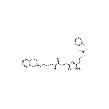 NC(CCCN1CCc2ccccc2C1)OC(=O)/C=C/C(=O)NCCCCN1CCc2ccccc2C1